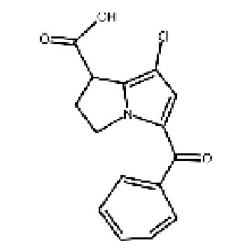 O=C(c1ccccc1)c1cc(Cl)c2n1CCC2C(=O)O